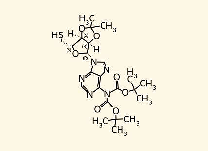 CC(C)(C)OC(=O)N(C(=O)OC(C)(C)C)c1ncnc2c1ncn2[C@@H]1O[C@H](CS)[C@H]2OC(C)(C)O[C@H]21